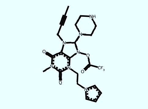 CC#CCN1c2c(n(CCn3cccc3)c(=O)n(C)c2=O)N(OC(=O)C(F)(F)F)C1N1CCNCC1